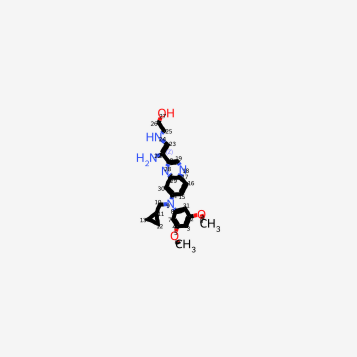 COc1cc(OC)cc(N(CC2CC2)c2ccc3ncc(/C(N)=C/NCCO)nc3c2)c1